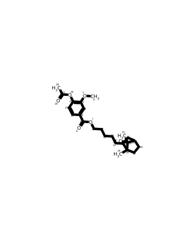 COc1cc(C(=O)OCCCCCC2CC3CCC2(C)C3(C)C)ccc1OC(C)=O